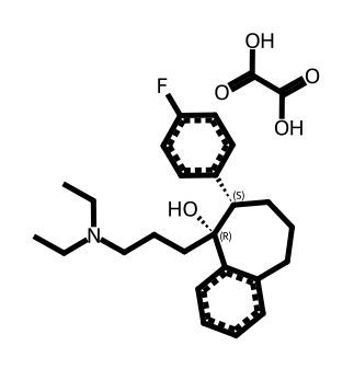 CCN(CC)CCC[C@]1(O)c2ccccc2CCC[C@H]1c1ccc(F)cc1.O=C(O)C(=O)O